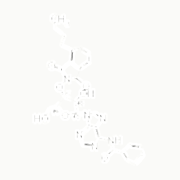 CCCCc1cccc2c1C(=O)N(O[C@H]1[C@@H](O)[C@H](n3cnc4c(NC(=O)c5ccccc5)ncnc43)O[C@@H]1CO)C2=O